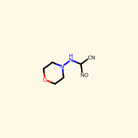 N#CC(N=O)NN1CCOCC1